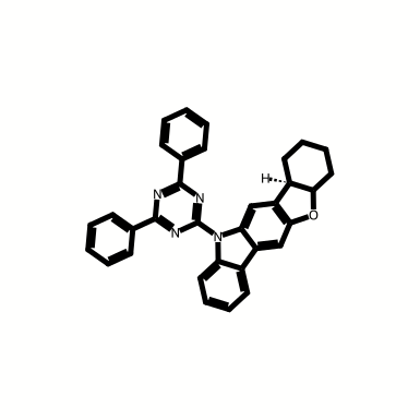 c1ccc(-c2nc(-c3ccccc3)nc(-n3c4ccccc4c4cc5c(cc43)[C@H]3CCCCC3O5)n2)cc1